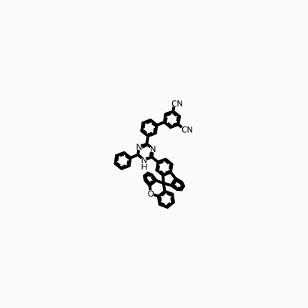 N#Cc1cc(C#N)cc(-c2cccc(C3=NC(c4ccccc4)NC(c4ccc5c(c4)C4(c6ccccc6Oc6ccccc64)c4ccccc4-5)=N3)c2)c1